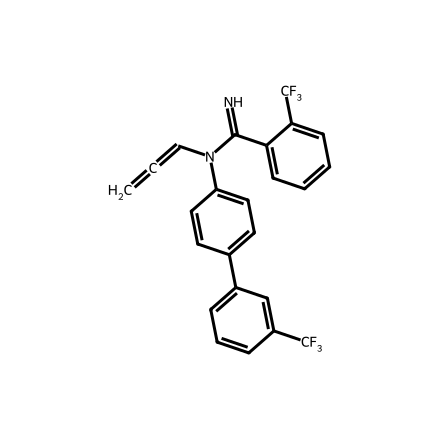 C=C=CN(C(=N)c1ccccc1C(F)(F)F)c1ccc(-c2cccc(C(F)(F)F)c2)cc1